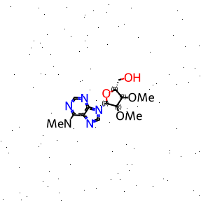 CNc1ncnc2c1ncn2[C@@H]1O[C@H](CO)[C@@H](OC)[C@H]1OC